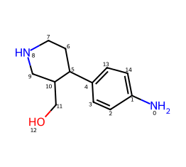 Nc1ccc(C2CCNCC2CO)cc1